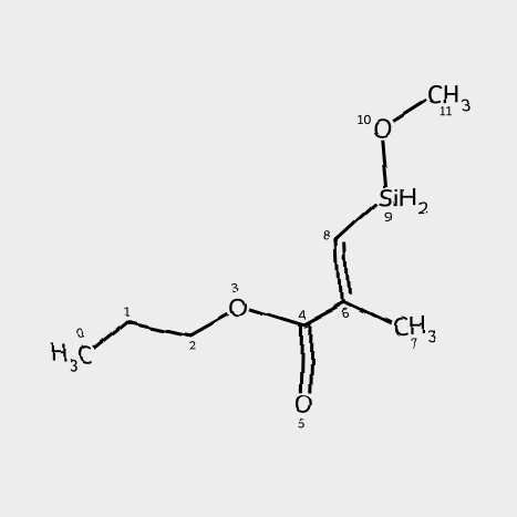 CCCOC(=O)C(C)=C[SiH2]OC